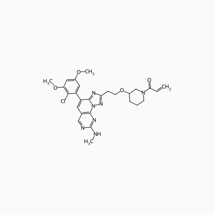 C=CC(=O)N1CCCC(OCCc2nc3c(-c4cc(OC)cc(OC)c4Cl)cc4cnc(NC)nc4n3n2)C1